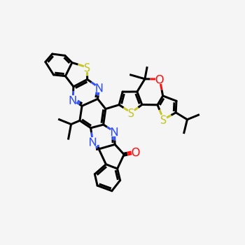 CC(C)c1cc2c(s1)-c1sc(-c3c4nc5c(nc4c(C(C)C)c4nc6c(nc34)sc3ccccc36)-c3ccccc3C5=O)cc1C(C)(C)O2